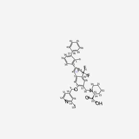 Cc1c(/C=C/c2cc(OCc3ccnc(I)c3)c(CN3CCCC[C@H]3C(=O)O)cc2C(F)(F)F)cccc1-c1ccccc1